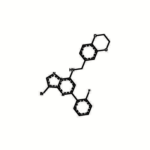 Fc1ccccc1-c1cc(NCc2ccc3c(c2)OCCO3)n2ncc(Br)c2n1